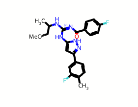 COCC(C)N/C(=N/C(=O)c1ccc(F)cc1)Nc1cc(-c2ccc(C)c(F)c2)n[nH]1